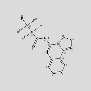 O=C(NC1=Nc2ccccc2C2=NCCN12)C(F)(F)C(F)(F)F